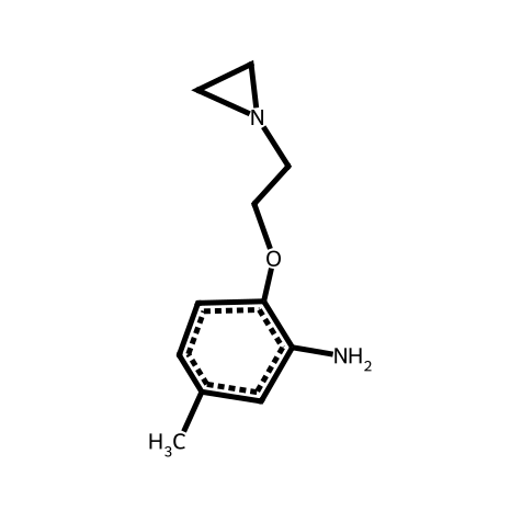 Cc1ccc(OCCN2CC2)c(N)c1